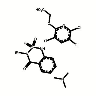 CC(C)N1C(=O)c2ccccc2NS1(=O)=O.CN(C)C.O=C(O)COc1nc(Cl)c(Cl)cc1Cl